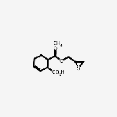 C.O=C(O)C1C=CCCC1C(=O)OCC1CO1